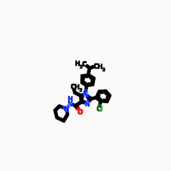 CCc1c(C(=O)NN2CCCCC2)nc(-c2ccccc2Cl)n1-c1ccc(C(C)C)cc1